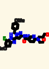 COc1ccc(Cn2nc(NC(=O)c3ccc(N4CCOC(CO)C4)nc3)cc2-c2nc3cc(OC)cc(F)c3[nH]2)cc1